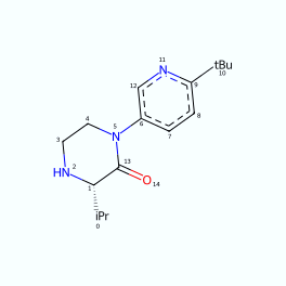 CC(C)[C@@H]1NCCN(c2ccc(C(C)(C)C)nc2)C1=O